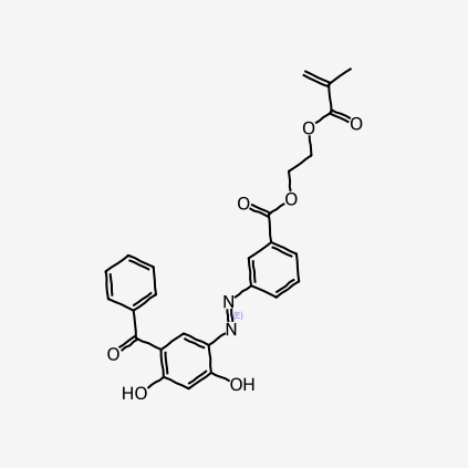 C=C(C)C(=O)OCCOC(=O)c1cccc(/N=N/c2cc(C(=O)c3ccccc3)c(O)cc2O)c1